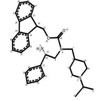 CC(C)N1CCC(CN(C[C@@H](N)c2ccccc2)C(=O)OCC2c3ccccc3-c3ccccc32)CC1